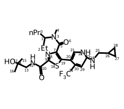 CCCC(CC)N(C)C(=O)c1nc(C(=O)NCC(C)(C)O)sc1C1=CNC(NCC2CC2)C=C1C(F)(F)F